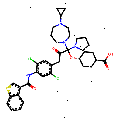 O=C(Nc1cc(Cl)c(CC(=O)C(O[C@H]2CC[C@H](C(=O)O)CC2)(N2CCCC2)N2CCCN(C3CC3)CC2)cc1Cl)c1csc2ccccc12